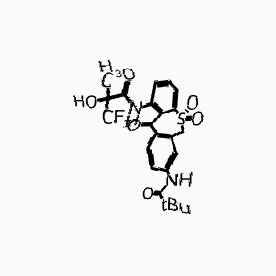 CC(C)(C)C(=O)Nc1ccc2c(c1)CS(=O)(=O)c1cccc(NC(=O)C(C)(O)C(F)(F)F)c1C2=O